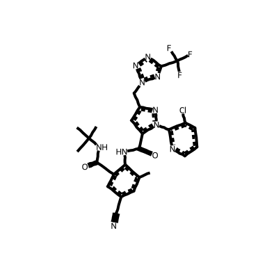 Cc1cc(C#N)cc(C(=O)NC(C)(C)C)c1NC(=O)c1cc(Cn2nnc(C(F)(F)F)n2)nn1-c1ncccc1Cl